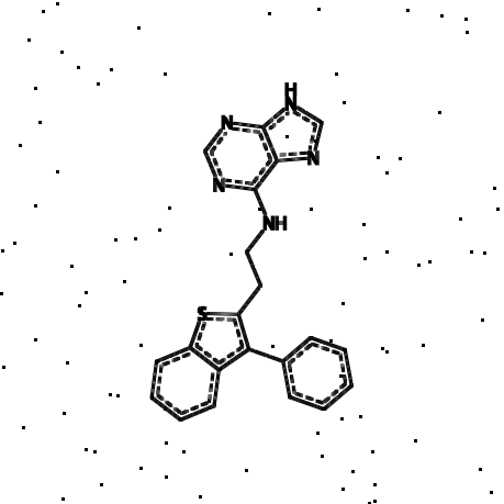 c1ccc(-c2c(CCNc3ncnc4[nH]cnc34)sc3ccccc23)cc1